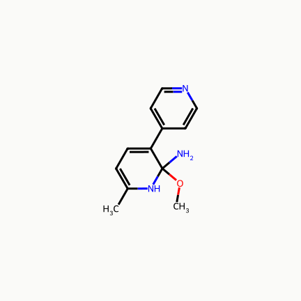 COC1(N)NC(C)=CC=C1c1ccncc1